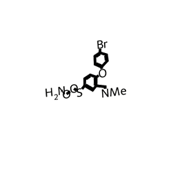 CNCc1cc(SOON)ccc1Oc1ccc(Br)cc1